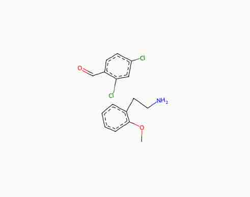 COc1ccccc1CCN.O=Cc1ccc(Cl)cc1Cl